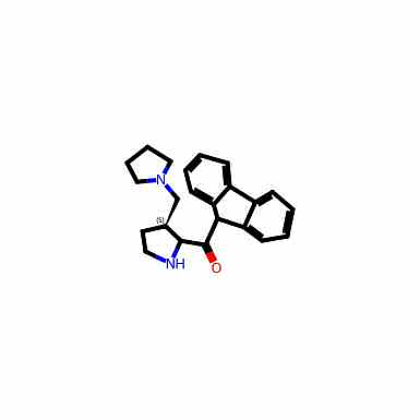 O=C(C1c2ccccc2-c2ccccc21)C1NCC[C@H]1CN1CCCC1